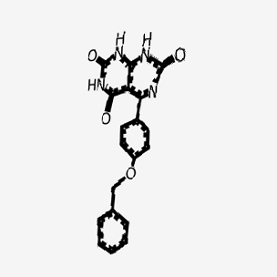 O=c1nc(-c2ccc(OCc3ccccc3)cc2)c2c(=O)[nH]c(=O)[nH]c2[nH]1